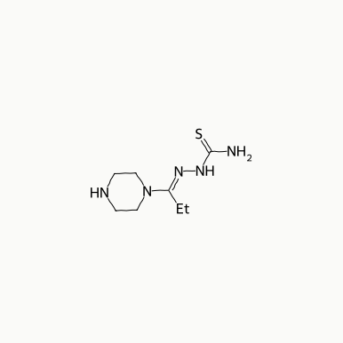 CCC(=NNC(N)=S)N1CCNCC1